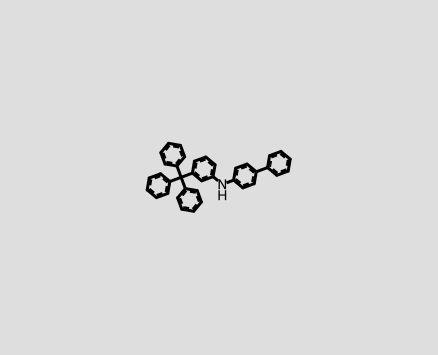 c1ccc(-c2ccc(Nc3cccc(C(c4ccccc4)(c4ccccc4)c4ccccc4)c3)cc2)cc1